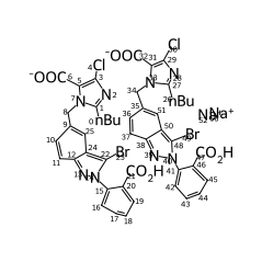 CCCCc1nc(Cl)c(C(=O)[O-])n1Cc1ccc2nn(-c3ccccc3C(=O)O)c(Br)c2c1.CCCCc1nc(Cl)c(C(=O)[O-])n1Cc1ccc2nn(-c3ccccc3C(=O)O)c(Br)c2c1.[Na+].[Na+]